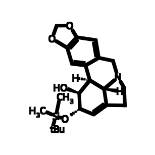 CC(C)(C)[Si](C)(C)O[C@H]1C=C2CCN3Cc4cc5c(cc4[C@H]([C@@H]1O)[C@@H]23)OCO5